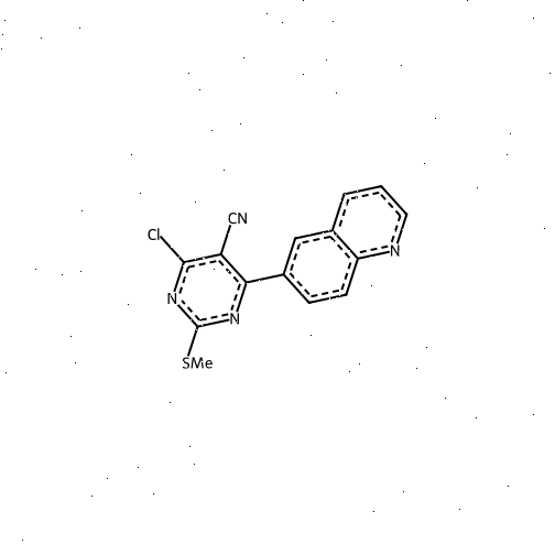 CSc1nc(Cl)c(C#N)c(-c2ccc3ncccc3c2)n1